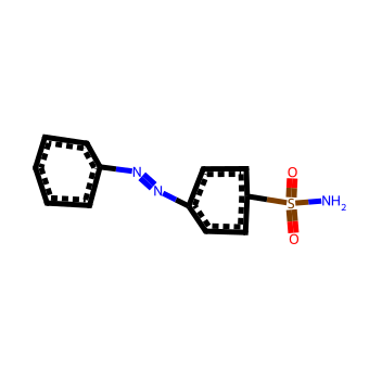 NS(=O)(=O)c1ccc(/N=N/c2ccccc2)cc1